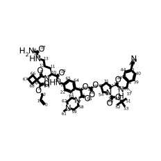 C=CCOC(=O)C1(C(=O)N[C@@H](CCCNC(N)=O)C(=O)Nc2ccc(C(OC(=O)O[C@@H]3C[C@@H](C(=O)N[C@@H](C)c4ccc(C#N)cc4)N(C(=O)OC(C)(C)C)C3)C(=O)N3CCN(C)CC3)cc2)CCC1